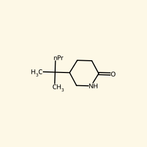 CCCC(C)(C)C1CCC(=O)NC1